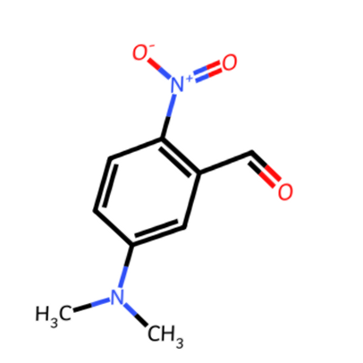 CN(C)c1ccc([N+](=O)[O-])c(C=O)c1